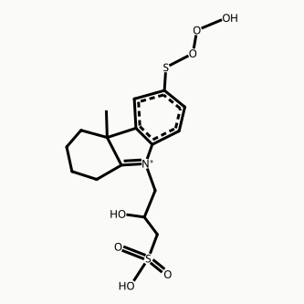 CC12CCCCC1=[N+](CC(O)CS(=O)(=O)O)c1ccc(SOOO)cc12